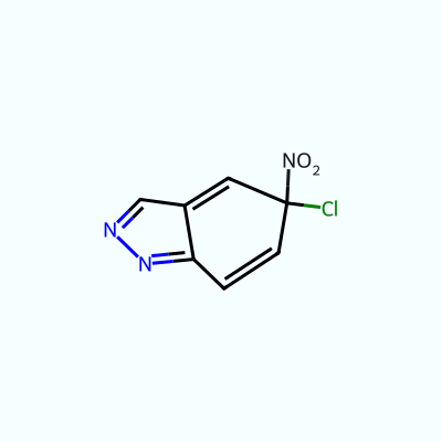 O=[N+]([O-])C1(Cl)C=CC2=NN=CC2=C1